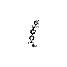 Cn1ccc(NC(=O)c2ccc(N3CCN(C(=O)OC(C)(C)C)CC3)cn2)n1